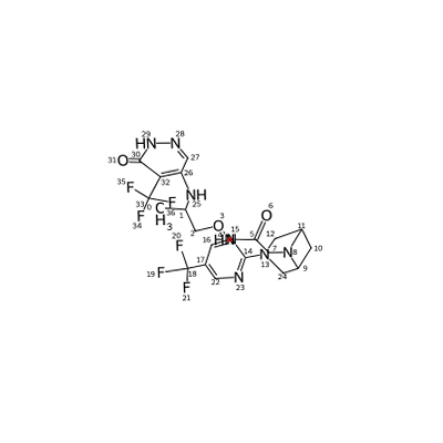 CC(CONC(=O)CN1C2CC1CN(c1ncc(C(F)(F)F)cn1)C2)Nc1cn[nH]c(=O)c1C(F)(F)F